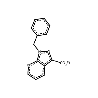 CCOC(=O)c1nn(Cc2ccccc2)c2ncccc12